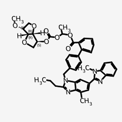 CCCc1nc2c(C)cc(-c3nc4ccccc4n3C)cc2n1Cc1ccc(-c2ccccc2C(=O)OC(C)OC(=O)O[C@H]2CO[C@H]3[C@@H]2OC[C@H]3OC)cc1